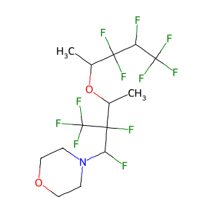 CC(OC(C)C(F)(C(F)N1CCOCC1)C(F)(F)F)C(F)(F)C(F)C(F)(F)F